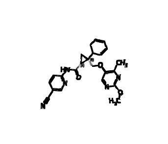 COc1ncc(OC[C@@]2(C3C=CC=CC3)C[C@H]2C(=O)Nc2ccc(C#N)cn2)c(C)n1